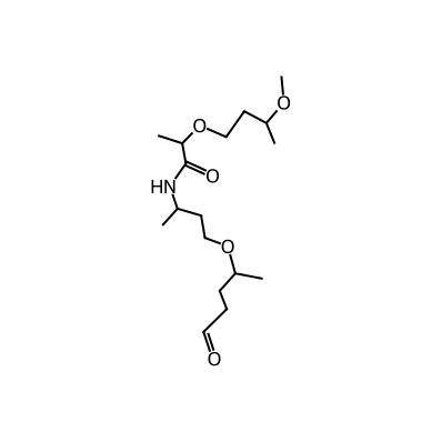 COC(C)CCOC(C)C(=O)NC(C)CCOC(C)CCC=O